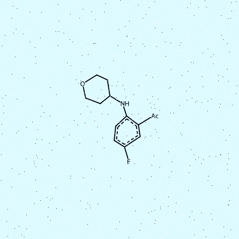 CC(=O)c1cc(F)ccc1NC1CCOCC1